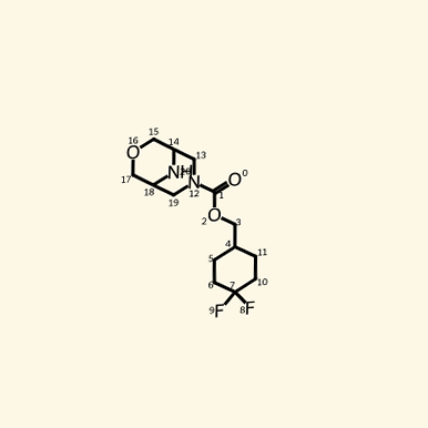 O=C(OCC1CCC(F)(F)CC1)N1CC2COCC(C1)N2